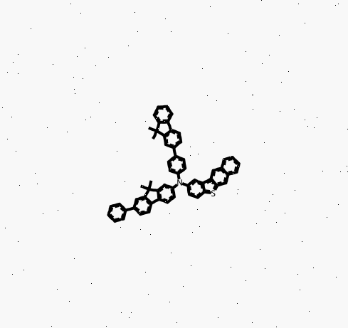 CC1(C)c2ccccc2-c2ccc(-c3ccc(N(c4ccc5c(c4)C(C)(C)c4cc(-c6ccccc6)ccc4-5)c4ccc5sc6cc7ccccc7cc6c5c4)cc3)cc21